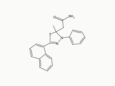 CC1(CC(N)=O)SC(c2cccc3ccccc23)=NN1c1ccccc1